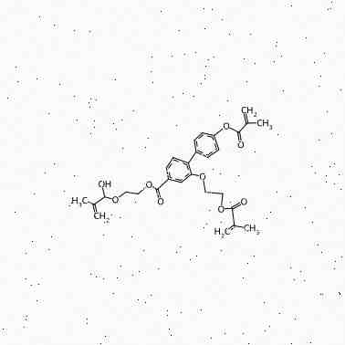 C=C(C)C(=O)OCCOc1cc(C(=O)OCCOC(O)C(=C)C)ccc1-c1ccc(OC(=O)C(=C)C)cc1